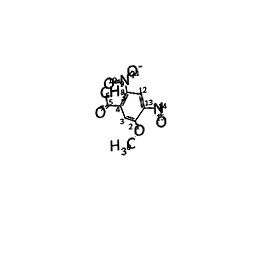 COc1cc(C(C)=O)c([N+](=O)[O-])cc1N=O